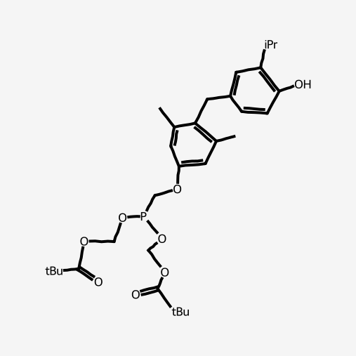 Cc1cc(OCP(OCOC(=O)C(C)(C)C)OCOC(=O)C(C)(C)C)cc(C)c1Cc1ccc(O)c(C(C)C)c1